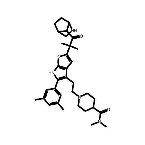 Cc1cc(C)cc(-c2[nH]c3sc(C(C)(C)C(=O)C4C5CCC4NC5)cc3c2CCN2CCC(C(=O)N(C)C)CC2)c1